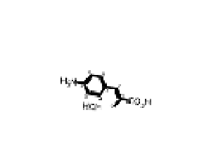 C/C(=C\c1ccc(N)cc1)C(=O)O.Cl